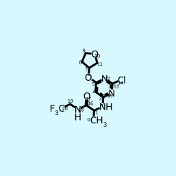 CC(Nc1cc(OC2CCOC2)nc(Cl)n1)C(=O)NCC(F)(F)F